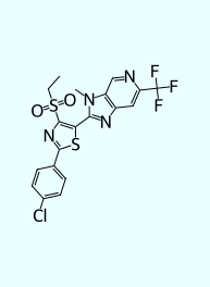 CCS(=O)(=O)c1nc(-c2ccc(Cl)cc2)sc1-c1nc2cc(C(F)(F)F)ncc2n1C